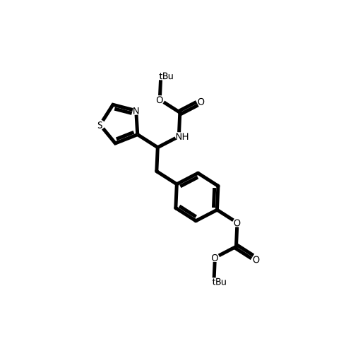 CC(C)(C)OC(=O)NC(Cc1ccc(OC(=O)OC(C)(C)C)cc1)c1cscn1